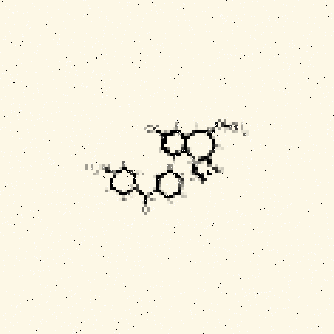 COC1Cc2cc(Cl)ccc2-n2c(nnc2[C@H]2CC[C@H](C(=O)N3CCN(C)CC3)CC2)C1